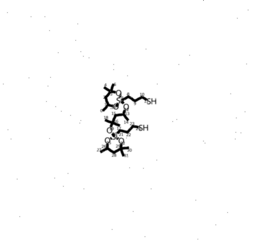 CC1CC(C)(C)O[Si](CCCS)(OC(C)CC(C)(C)O[Si]2(CCCS)OC(C)CC(C)(C)O2)O1